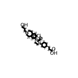 Cl.O=C(O)CC[C@H]1CC[C@H](N2CCN(c3ccc4c(c3)CCN(CCCO)CC4)C2=O)CC1